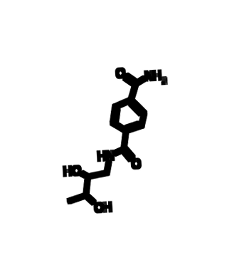 CC(O)C(O)CNC(=O)c1ccc(C(N)=O)cc1